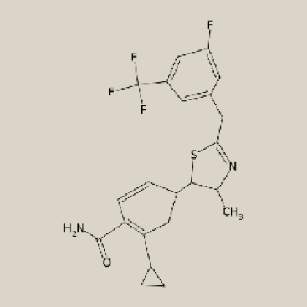 CC1N=C(Cc2cc(F)cc(C(F)(F)F)c2)SC1C1C=CC(C(N)=O)=C(C2CC2)C1